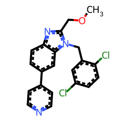 COCc1nc2ccc(-c3ccncc3)cc2n1Cc1cc(Cl)ccc1Cl